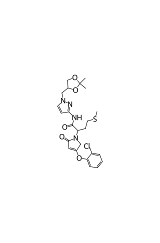 CSCCC(C(=O)Nc1ccn(CC2COC(C)(C)O2)n1)N1CC(Oc2ccccc2Cl)=CC1=O